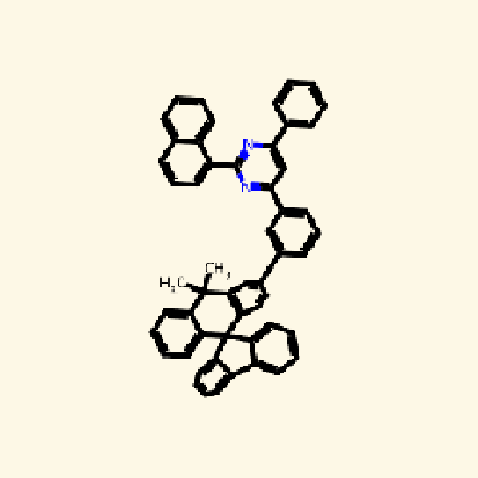 CC1(C)c2ccccc2C2(c3ccccc3-c3ccccc32)c2ccc(-c3cccc(-c4cc(-c5ccccc5)nc(-c5cccc6ccccc56)n4)c3)cc21